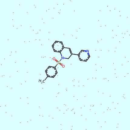 Cc1ccc(S(=O)(=O)N2CC(c3cccnc3)=Cc3ccccc32)cc1